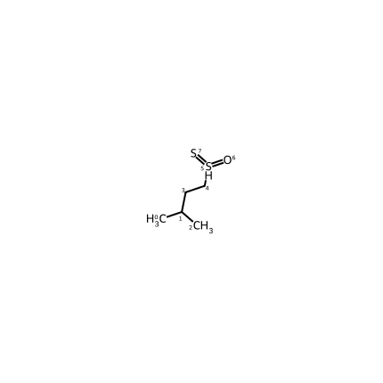 CC(C)CC[SH](=O)=S